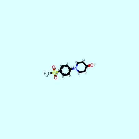 O=C1CCN(c2ccc(S(=O)(=O)C(F)(F)F)cc2)CC1